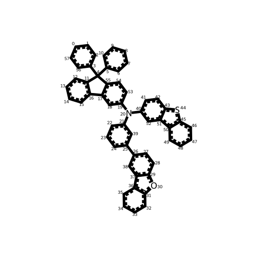 c1ccc(C2(c3ccccc3)c3ccccc3-c3cc(N(c4cccc(-c5ccc6oc7ccccc7c6c5)c4)c4ccc5sc6ccccc6c5c4)ccc32)cc1